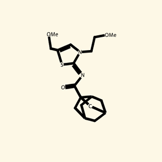 COCCn1cc(COC)s/c1=N\C(=O)C12CC3CC(CC1C3)C2